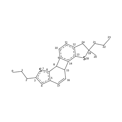 CCCc1cc2c(s1)C1c3ccc4c(c3C1C=C2)SC(C)(CCC)C4